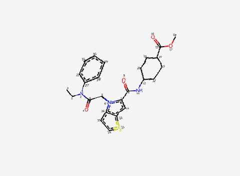 CCN(C(=O)Cn1c(C(=O)NC2CCC(C(=O)OC)CC2)cc2sccc21)c1ccccc1